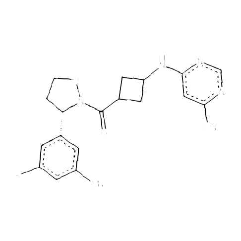 N#Cc1cc(F)cc([C@@H]2CCON2C(=O)C2CC(Nc3cc(C#N)ncn3)C2)c1